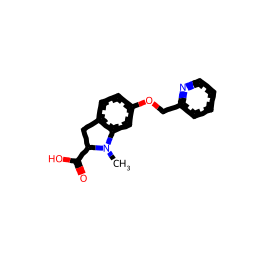 CN1c2cc(OCc3ccccn3)ccc2CC1C(=O)O